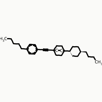 CCCCCc1ccc(C#CC23CCC([C@H]4CC[C@H](CCCC)CC4)(CC2)CC3)cc1